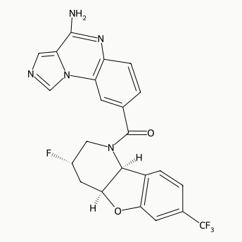 Nc1nc2ccc(C(=O)N3C[C@@H](F)C[C@@H]4Oc5cc(C(F)(F)F)ccc5[C@@H]43)cc2n2cncc12